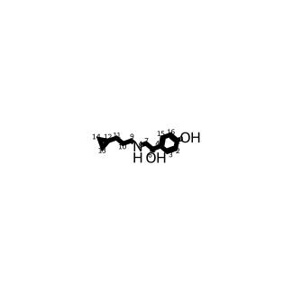 Oc1ccc(C(O)CNCCCC2CC2)cc1